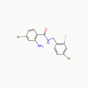 Nc1cc(Br)ccc1C(=O)NCc1ccc(Br)cc1F